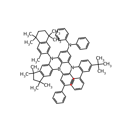 Cc1cc2c(cc1N1c3cc4c(cc3B3c5cc(-c6ccccc6)ccc5N(c5ccc(C(C)(C)C)cc5-c5ccccc5)c5cc(N(c6ccccc6)c6ccccc6)cc1c53)C(C)(C)CC4(C)C)C(C)(C)CCC2(C)C